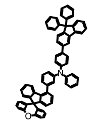 c1ccc(N(c2ccc(-c3ccc4c(c3)-c3ccccc3C4(c3ccccc3)c3ccccc3)cc2)c2cccc(-c3cccc4c3-c3ccccc3C43c4ccccc4Oc4ccccc43)c2)cc1